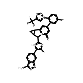 Nc1noc2cc(-c3[nH]c(C4C5CC5c5cc(-c6cc(Cl)ccc6-n6cc(C(F)(F)F)nn6)cc(=O)n54)nc3F)ccc12